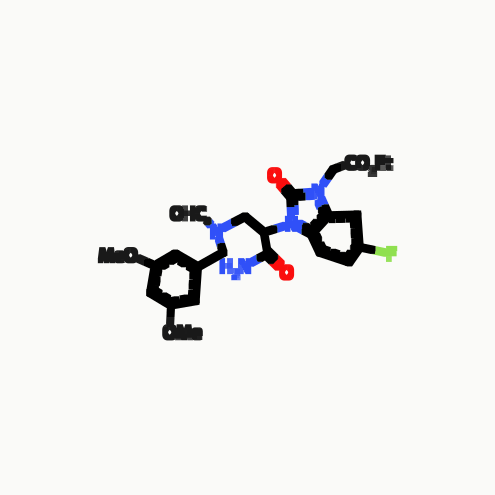 CCOC(=O)Cn1c(=O)n(C(CN(C=O)Cc2cc(OC)cc(OC)c2)C(N)=O)c2ccc(F)cc21